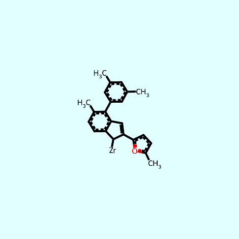 Cc1cc(C)cc(-c2c(C)ccc3c2C=C(c2ccc(C)o2)[CH]3[Zr])c1